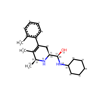 CC1=C(c2ccccc2C)C[C@@H]([C@@H](O)NC2CCCCC2)N[C@H]1C